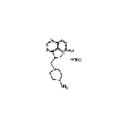 Cl.Cl.NC1CCN(CC2Cn3c(=O)ccc4nccc2c43)CC1